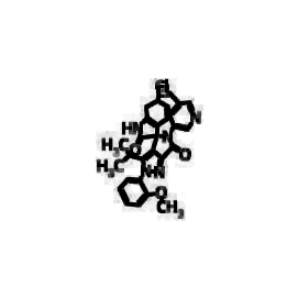 COc1ccccc1-n1nc2c(c1C(C)C)[C@@]1(C(=O)NC3=C1C=CC(Cl)C3)N(c1cncc(Cl)c1)C2=O